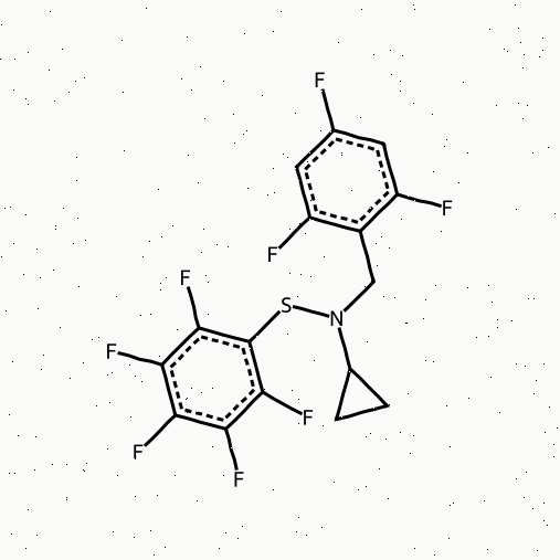 Fc1cc(F)c(CN(Sc2c(F)c(F)c(F)c(F)c2F)C2CC2)c(F)c1